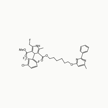 COC(=O)C1=C(CF)NC(C)=C(C(=O)OCCCCCCOc2cc(C)nc(-c3ccccc3)n2)C1c1c(F)ccc(Cl)c1C(F)(F)F